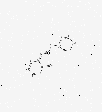 O=C1C=CC=CC1=NOCc1ccccc1